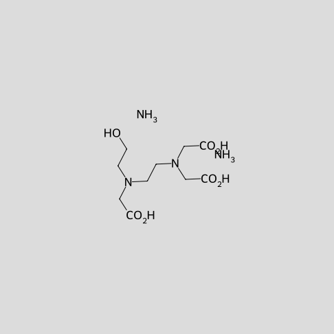 N.N.O=C(O)CN(CCO)CCN(CC(=O)O)CC(=O)O